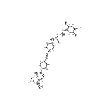 NC[C@H](NC(=O)c1ccc(C#Cc2ccc(NC(=O)CNCc3cc(F)c(F)cc3F)cc2)cc1)C(=O)NO